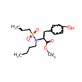 C=CCS(=O)(=O)N(CCCC)C(Cc1ccc(O)cc1)C(=O)OC